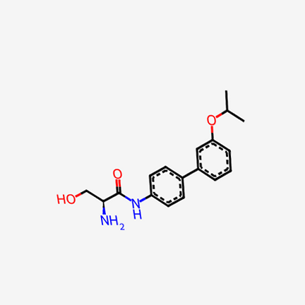 CC(C)Oc1cccc(-c2ccc(NC(=O)[C@@H](N)CO)cc2)c1